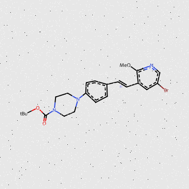 COc1ncc(Br)cc1/C=C/c1ccc(N2CCN(C(=O)OC(C)(C)C)CC2)cc1